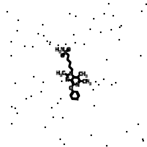 Cc1nc(Oc2ccccc2)c2nc(C)n(CCCCCS(N)(=O)=O)c2c1C